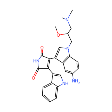 COC(CN(C)C)Cn1cc(C2=C(c3c[nH]c4ccccc34)C(=O)NC2=O)c2cc(N)ccc21